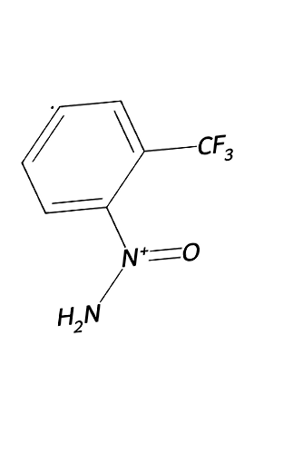 N[N+](=O)c1cc[c]cc1C(F)(F)F